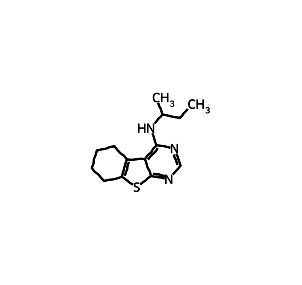 CCC(C)Nc1ncnc2sc3c(c12)CCCC3